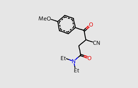 CCN(CC)C(=O)CC(C#N)C(=O)c1ccc(OC)cc1